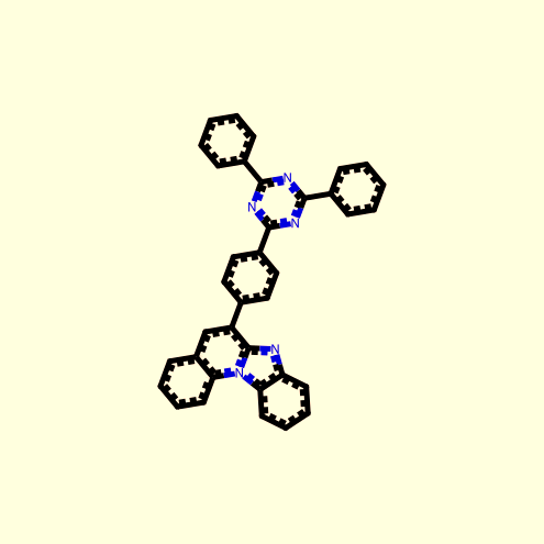 c1ccc(-c2nc(-c3ccccc3)nc(-c3ccc(-c4cc5ccccc5n5c4nc4ccccc45)cc3)n2)cc1